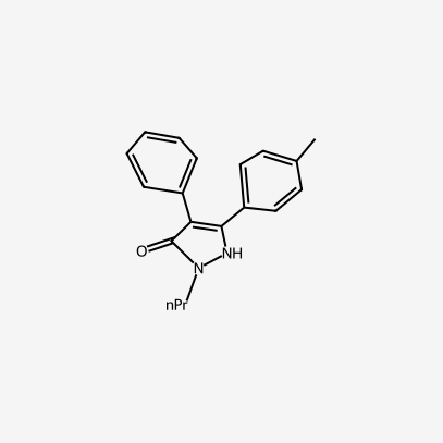 CCCn1[nH]c(-c2ccc(C)cc2)c(-c2ccccc2)c1=O